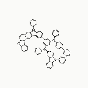 c1ccc(-c2ccc(N(c3ccccc3)c3cc(-c4ccc5c(c4)c4cc6c(ccc7oc8ccccc8c76)cc4n5-c4ccccc4)cc(N(c4ccccc4)c4ccc5c(c4)c4ccccc4n5-c4ccccc4)c3)cc2)cc1